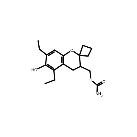 CCc1cc2c(c(CC)c1O)CC(COC(N)=O)C1(CCC1)O2